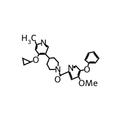 COc1cc(C(=O)N2CCC(c3cnc(C)cc3OC3CC3)CC2)ncc1Oc1ccccc1